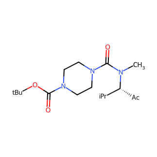 CC(=O)[C@H](C(C)C)N(C)C(=O)N1CCN(C(=O)OC(C)(C)C)CC1